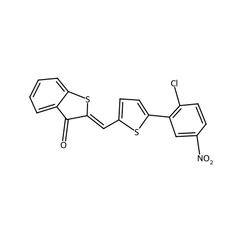 O=C1C(=Cc2ccc(-c3cc([N+](=O)[O-])ccc3Cl)s2)Sc2ccccc21